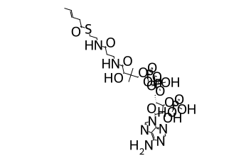 CC=CCC(=O)SCCNC(=O)CCNC(=O)C(O)C(C)(C)COP(=O)(O)OP(=O)(O)OC[C@H]1O[C@@H](n2cnc3c(N)ncnc32)[C@H](O)[C@@H]1OP(=O)(O)O